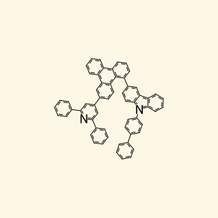 c1ccc(-c2ccc(-n3c4ccccc4c4cc(-c5cccc6c7ccccc7c7cc(-c8cc(-c9ccccc9)nc(-c9ccccc9)c8)ccc7c56)ccc43)cc2)cc1